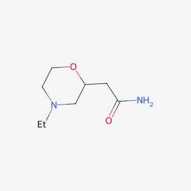 CCN1CCOC(CC(N)=O)C1